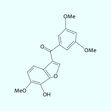 COc1cc(OC)cc(C(=O)c2coc3c(O)c(OC)ccc23)c1